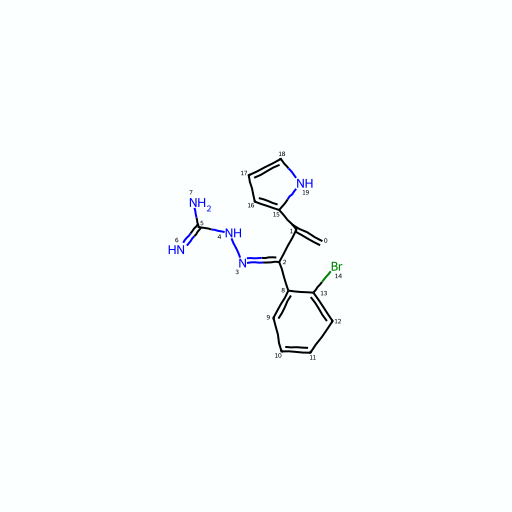 C=C(C(=NNC(=N)N)c1ccccc1Br)c1ccc[nH]1